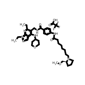 CCc1nc2c(cnn2CC)c(NC2CCOCC2)c1CNC(=O)c1ccc(NC(=O)CCCCCCCN2CCC[C@H]2COC)cc1.O=C(O)C(F)(F)F